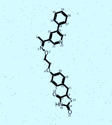 CC(=NOCCOc1ccc(CC2SC(=O)NC2=O)cc1)c1cncc(-c2ccccc2)c1